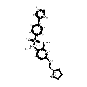 COc1nc(OC[C@H]2CCCN2)ccc1NS(=O)(=O)c1ccc(-c2cnco2)cc1.Cl